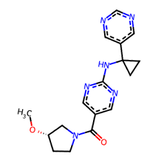 CO[C@H]1CCN(C(=O)c2cnc(NC3(c4cncnc4)CC3)nc2)C1